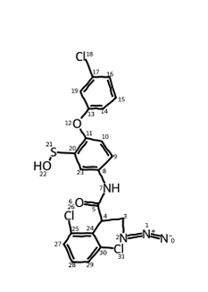 [N-]=[N+]=NCC(C(=O)Nc1ccc(Oc2cccc(Cl)c2)c(SO)c1)c1c(Cl)cccc1Cl